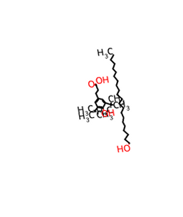 CC(C)(C)c1cc(CCC(=O)O)cc(C(C)(C)C)c1O.CCCCCCCCCCCCCCCCCCCCCCO